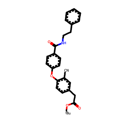 CC(C)(C)OC(=O)Cc1ccc(Oc2ccc(C(=O)NCCc3ccccc3)cc2)c(C#N)c1